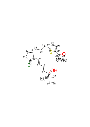 CCC1(C(O)CC/C=C/C2C(Cl)CC[C@@H]2CCCc2ccc(C(=O)OC)s2)CCC1